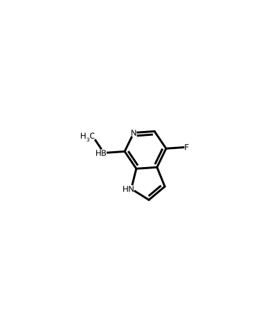 CBc1ncc(F)c2cc[nH]c12